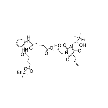 C=CCn1c(=O)n(CC(O)COC(=O)CCCC(=O)Nc2ccccc2NC(=O)CCCC(=O)OC(C)(C)CC)c(=O)n(CC(O)C(C)(C)CC)c1=O